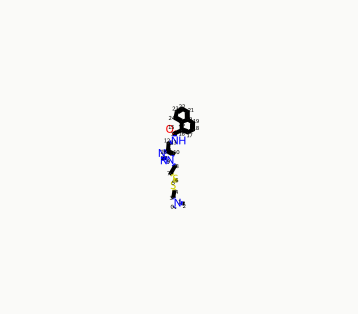 CN(C)CCSSCCn1cc(CNC(=O)c2cccc3ccccc23)nn1